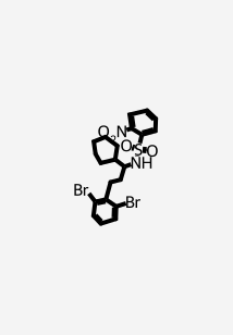 O=[N+]([O-])c1ccccc1S(=O)(=O)NC(CCc1c(Br)cccc1Br)C1CCCCC1